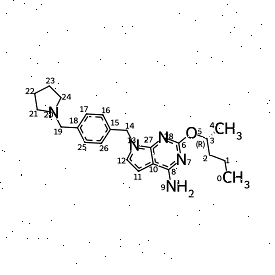 CCC[C@@H](C)Oc1nc(N)c2ccn(Cc3ccc(CN4CCCC4)cc3)c2n1